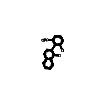 O=Cc1cccc(Cl)c1-c1ccc2ccccc2c1Cl